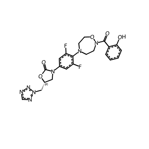 O=C(c1ccccc1O)N1CCN(c2c(F)cc(N3C[C@H](Cn4ncnn4)OC3=O)cc2F)CCO1